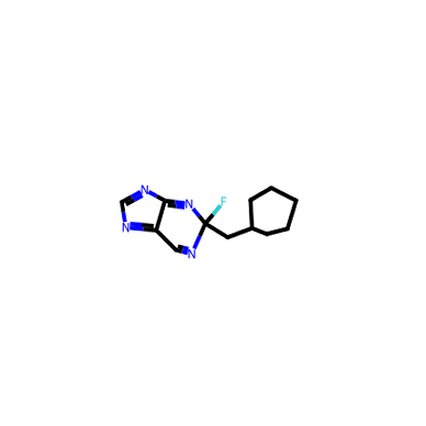 FC1(CC2CCCCC2)N=CC2=NC=NC2=N1